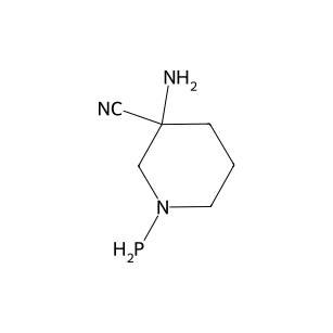 N#CC1(N)CCCN(P)C1